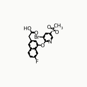 CS(=O)(=O)c1cnc(Oc2cc(CC(=O)O)cc3ccc(F)cc23)c(Br)c1